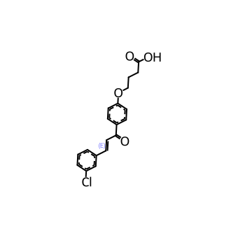 O=C(O)CCCOc1ccc(C(=O)/C=C/c2cccc(Cl)c2)cc1